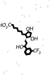 O=C(O)CCCCCCC1[C@@H](CCC(O)c2cccc(C(F)(F)F)c2)[C@H](O)C[C@@H]1O